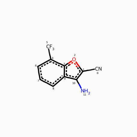 N#Cc1oc2c(C(F)(F)F)cccc2c1N